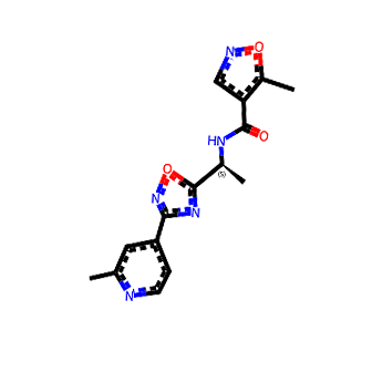 Cc1cc(-c2noc([C@H](C)NC(=O)c3cnoc3C)n2)ccn1